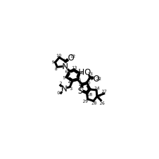 CN(C)Cc1cc(N2CCCC2=O)ccc1-c1sc2c(c1C(=O)O)CC(C)(C)CC2